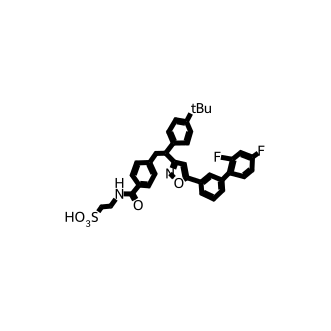 CC(C)(C)c1ccc(C(Cc2ccc(C(=O)NCCS(=O)(=O)O)cc2)c2cc(-c3cccc(-c4ccc(F)cc4F)c3)on2)cc1